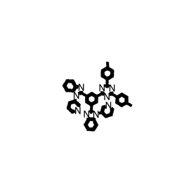 Cc1ccc(-c2nc(-c3ccc(C)cc3)nc(-c3cc(-c4nc5ccccc5n4-c4cccnc4)cc(-c4nc5ccccc5n4-c4cccnc4)c3)n2)cc1